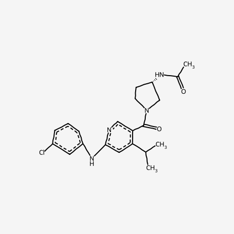 CC(=O)N[C@H]1CCN(C(=O)c2cnc(Nc3cccc(Cl)c3)cc2C(C)C)C1